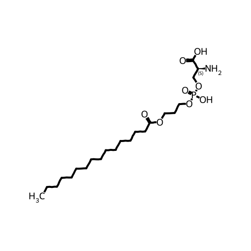 CCCCCCCCCCCCCCCC(=O)OCCCOP(=O)(O)OC[C@H](N)C(=O)O